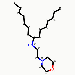 CCCCCCCC(CCCCCCC)NCCN1CCOCC1